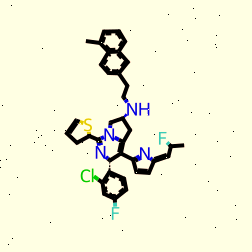 Cc1cccc2cc(CCN[C@H]3CC4=C(C5=N/C(=C\C(C)F)C=C5)[C@H](c5ccc(F)cc5Cl)N=C(C5CC=CS5)N4C3)ccc12